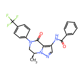 C[C@H]1CN(c2ccc(C(F)(F)F)cc2)C(=O)c2c(NC(=O)c3ccccc3)cnn21